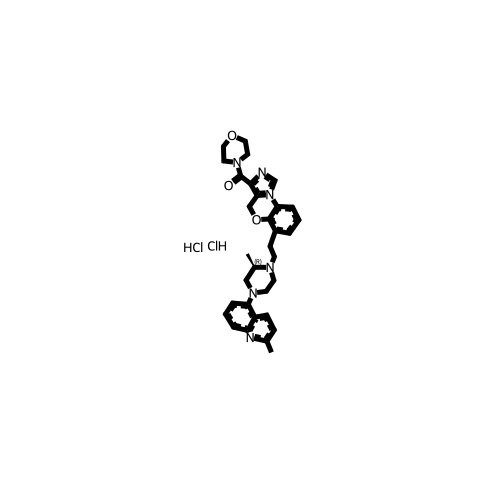 Cc1ccc2c(N3CCN(CCc4cccc5c4OCc4c(C(=O)N6CCOCC6)ncn4-5)[C@H](C)C3)cccc2n1.Cl.Cl